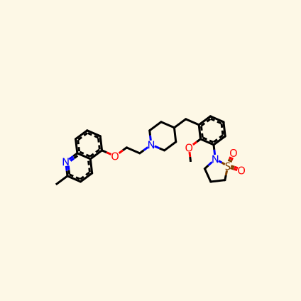 COc1c(CC2CCN(CCOc3cccc4nc(C)ccc34)CC2)cccc1N1CCCS1(=O)=O